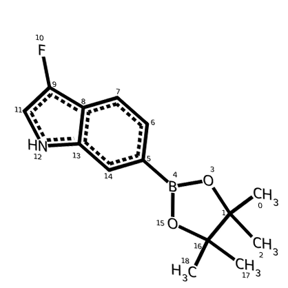 CC1(C)OB(c2ccc3c(F)c[nH]c3c2)OC1(C)C